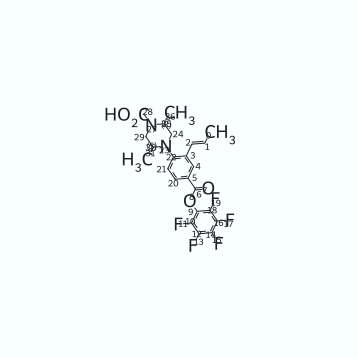 CC=Cc1cc(C(=O)Oc2c(F)c(F)c(F)c(F)c2F)ccc1N1C[C@@H](C)N(C(=O)O)C[C@@H]1C